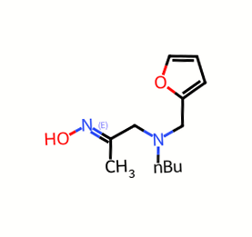 CCCCN(C/C(C)=N/O)Cc1ccco1